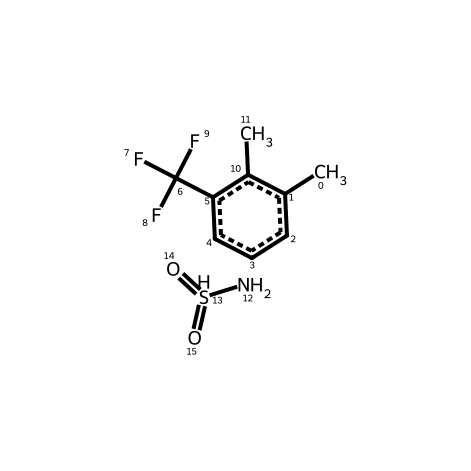 Cc1cccc(C(F)(F)F)c1C.N[SH](=O)=O